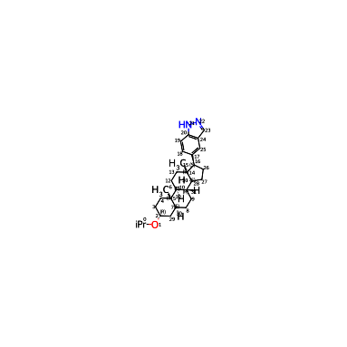 CC(C)O[C@@H]1CC[C@@]2(C)[C@@H](CC[C@@H]3[C@@H]2CC[C@]2(C)[C@@H](c4ccc5[nH]ncc5c4)CC[C@@H]32)C1